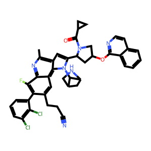 Cc1nc2c(F)c(-c3cccc(Cl)c3Cl)c(CCC#N)cc2c2c1cc(C1CC(Oc3nccc4ccccc34)CN1C(=O)C1CC1)n2C1C2CNC1C2